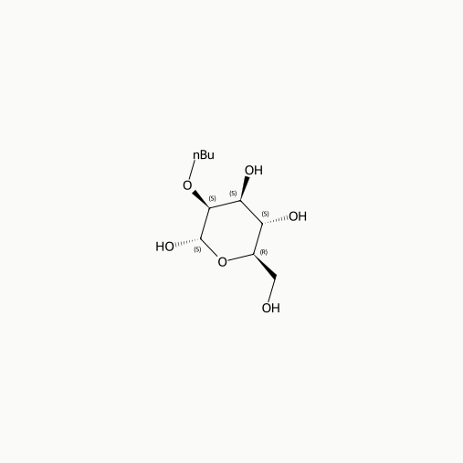 CCCCO[C@H]1[C@@H](O)[C@H](O)[C@@H](CO)O[C@@H]1O